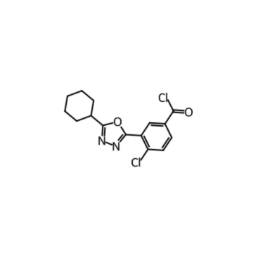 O=C(Cl)c1ccc(Cl)c(-c2nnc(C3CCCCC3)o2)c1